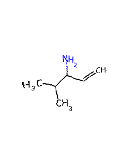 [CH]=CC(N)C(C)C